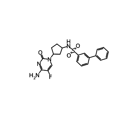 Nc1nc(=O)n(C2CCC(NS(=O)(=O)c3cccc(-c4ccccc4)c3)C2)cc1F